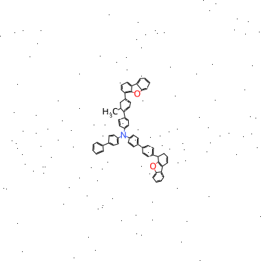 CC1CC(c2cccc3c2oc2ccccc23)=CC=C1c1ccc(N(c2ccc(-c3ccccc3)cc2)c2ccc(-c3ccc(C4CC=Cc5c4oc4ccccc54)cc3)cc2)cc1